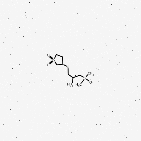 CC(COC1CCS(=O)(=O)C1)C[Si](C)(C)[O]